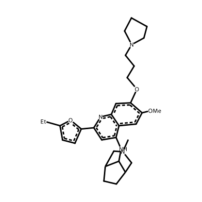 CCc1ccc(-c2cc(NC3C4CCC3CN(C)C4)c3cc(OC)c(OCCCN4CCCC4)cc3n2)o1